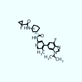 Cc1cnc(NC(=O)[C@H]2CCC[C@@H](NC(=O)C3(F)CC3)C2)cc1-c1cc(F)c2ncn(C(C)C)c2c1